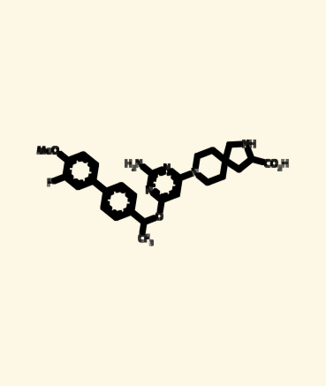 COc1ccc(-c2ccc(C(Oc3cc(N4CCC5(CC4)CNC(C(=O)O)C5)nc(N)n3)C(F)(F)F)cc2)cc1F